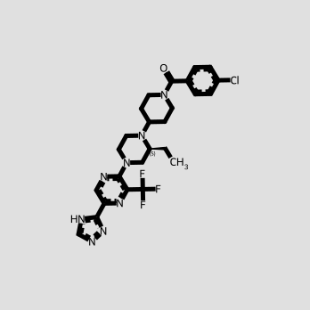 CC[C@H]1CN(c2ncc(-c3nnc[nH]3)nc2C(F)(F)F)CCN1C1CCN(C(=O)c2ccc(Cl)cc2)CC1